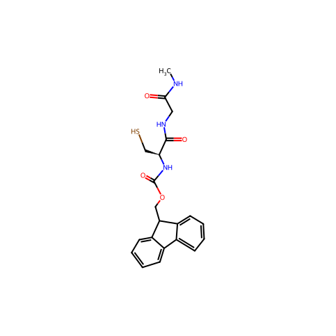 CNC(=O)CNC(=O)[C@H](CS)NC(=O)OCC1c2ccccc2-c2ccccc21